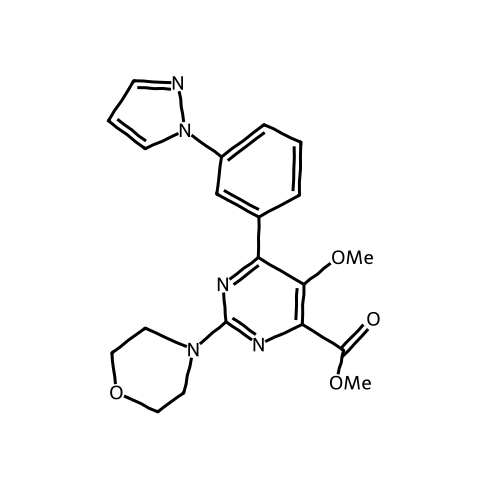 COC(=O)c1nc(N2CCOCC2)nc(-c2cccc(-n3cccn3)c2)c1OC